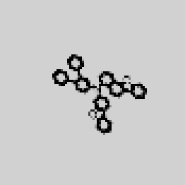 c1ccc(-c2ccc(N(c3ccc4c(c3)oc3ccccc34)c3cccc4c3ccc3c5ccccc5oc43)cc2-c2ccccc2)cc1